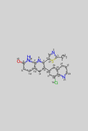 Cc1ncc(-c2nc3[nH]c(=O)ccc3cc2-c2cc(Cl)c3ncccc3c2)s1